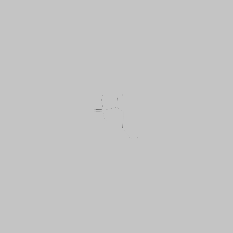 CC(=O)NCCN(C=O)P(=O)(O)O